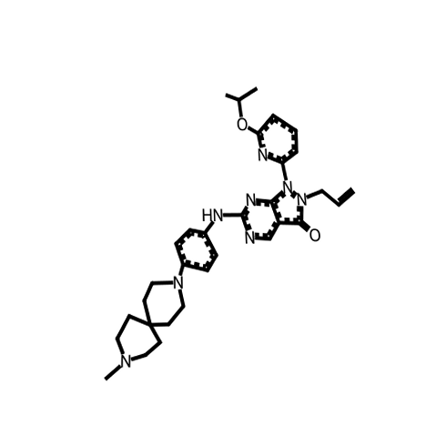 C=CCn1c(=O)c2cnc(Nc3ccc(N4CCC5(CCN(C)CC5)CC4)cc3)nc2n1-c1cccc(OC(C)C)n1